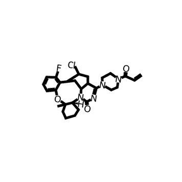 C=CC(=O)N1CCN(C2=NC(=O)N3C4CC(c5c(F)cccc5OC5(C)CCCC[C@@H]35)C(Cl)CC24)CC1